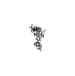 CCC(C(=O)Nc1ccc(-c2cncc(OC(C)C)n2)cc1)c1ccnc(NS(=O)(=O)C2CC2)n1